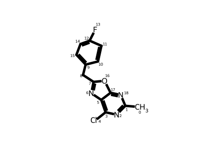 Cc1nc(Cl)c2nc(Cc3ccc(F)cc3)oc2n1